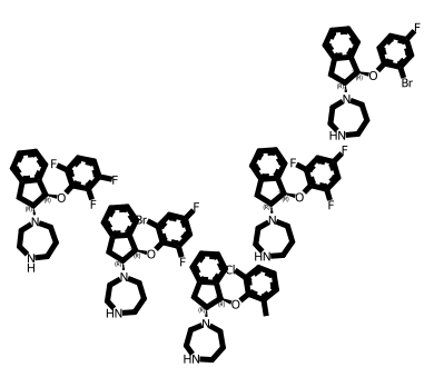 Cc1cccc(Cl)c1O[C@@H]1c2ccccc2C[C@H]1N1CCCNCC1.Fc1cc(F)c(O[C@@H]2c3ccccc3C[C@H]2N2CCCNCC2)c(Br)c1.Fc1cc(F)c(O[C@@H]2c3ccccc3C[C@H]2N2CCCNCC2)c(F)c1.Fc1ccc(F)c(O[C@@H]2c3ccccc3C[C@H]2N2CCCNCC2)c1F.Fc1ccc(O[C@@H]2c3ccccc3C[C@H]2N2CCCNCC2)c(Br)c1